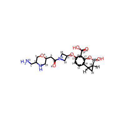 NCC1COC(CC(=O)N2CC(Oc3ccc4c(c3C(=O)O)OB(O)[C@@H]3C[C@H]43)C2)CN1